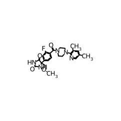 COCC1(c2ccc(C(=O)N3CCN(c4ncc(C)cc4C)CC3)c(F)c2)NC(=O)NC1=O